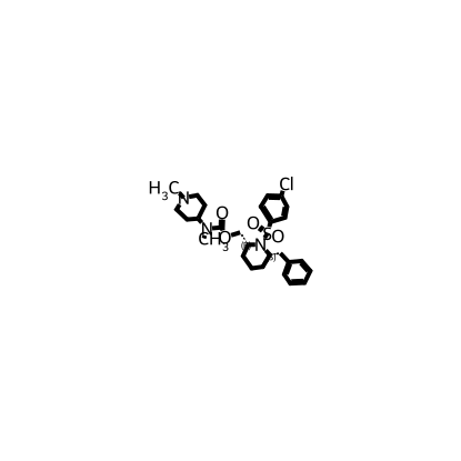 CN1CCC(N(C)C(=O)OC[C@H]2CCC[C@@H](Cc3ccccc3)N2S(=O)(=O)c2ccc(Cl)cc2)CC1